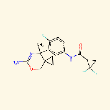 CC1(c2cc(NC(=O)C3CC3(F)F)ccc2F)N=C(N)OCC12CC2